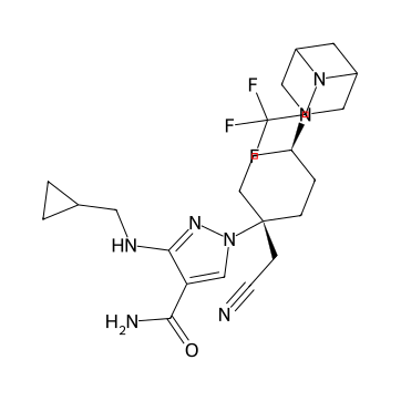 N#CC[C@]1(n2cc(C(N)=O)c(NCC3CC3)n2)CC[C@H](N2CC3CC(C2)N3CC(F)(F)F)CC1